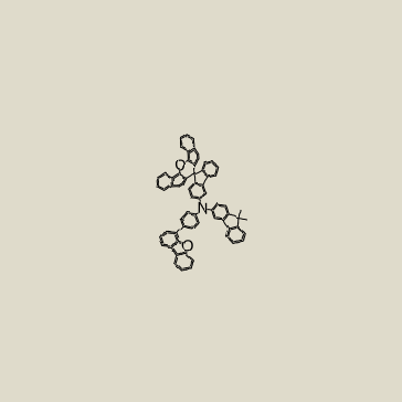 CC1(C)c2ccccc2-c2cc(N(c3ccc(-c4cccc5c4oc4ccccc45)cc3)c3ccc4c(c3)-c3ccccc3C43c4ccc5ccccc5c4Oc4c3ccc3ccccc43)ccc21